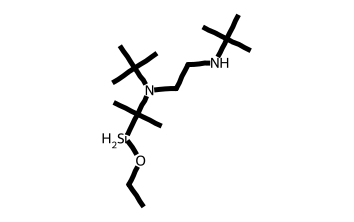 CCO[SiH2]C(C)(C)N(CCNC(C)(C)C)C(C)(C)C